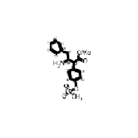 COC(=O)C(c1ccc(OS(C)(=O)=O)cc1)C(N)Cc1ccccc1